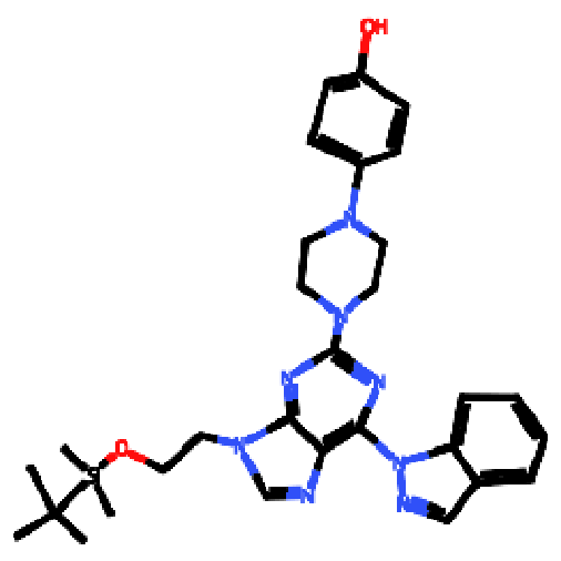 CC(C)(C)[Si](C)(C)OCCn1cnc2c(-n3ncc4ccccc43)nc(N3CCN(c4ccc(O)cc4)CC3)nc21